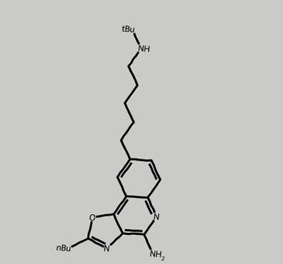 CCCCc1nc2c(N)nc3ccc(CCCCCNC(C)(C)C)cc3c2o1